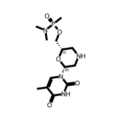 Cc1cn([C@H]2CNC[C@@H](COP(C)(=O)N(C)C)O2)c(=O)[nH]c1=O